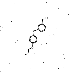 COCOc1ccc(Oc2cccc(CCl)c2)cc1